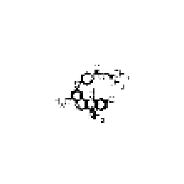 Cc1cc(SC2CCN(C(=O)OCC(C)C)CC2)cc2c(Nc3cccc(Cl)c3)c(C(N)=O)cnc12